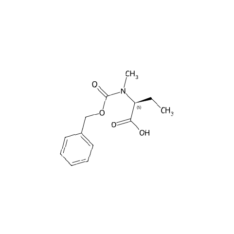 CC[C@@H](C(=O)O)N(C)C(=O)OCc1ccccc1